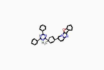 CC1(c2nc(-c3ccccc3)nc(-c3ccccc3)n2)C=CC(c2ccc3nc4c5ccccc5oc4n3c2)=CC1